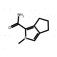 Cn1cc2c(c1C(N)=O)CCC2